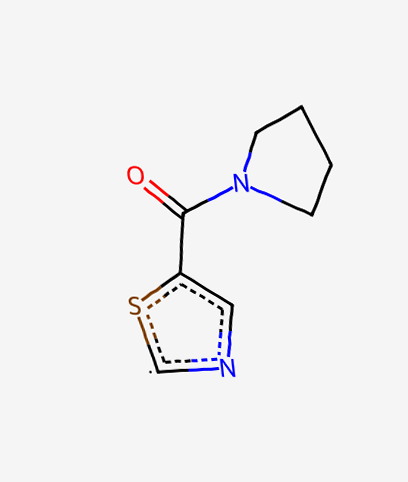 O=C(c1cn[c]s1)N1CCCC1